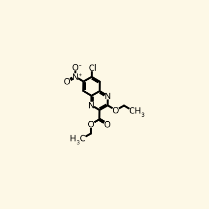 CCOC(=O)c1nc2cc([N+](=O)[O-])c(Cl)cc2nc1OCC